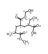 CCC(CC(CC(C)C(=O)OC)C(=O)OCO)C(=O)O